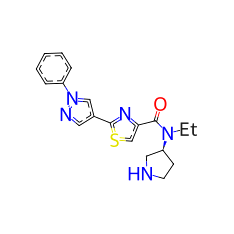 CCN(C(=O)c1csc(-c2cnn(-c3ccccc3)c2)n1)[C@H]1CCNC1